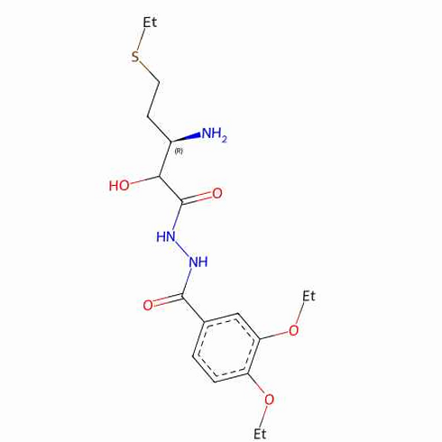 CCOc1ccc(C(=O)NNC(=O)C(O)[C@H](N)CCSCC)cc1OCC